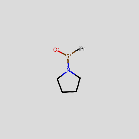 CC(C)[S+]([O-])N1CCCC1